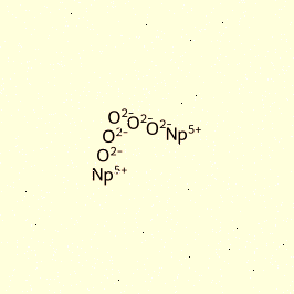 [Np+5].[Np+5].[O-2].[O-2].[O-2].[O-2].[O-2]